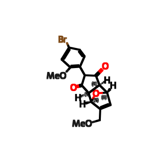 COCC1=C[C@@H]2O[C@H]1[C@H]1C(=O)C(c3ccc(Br)cc3OC)C(=O)[C@H]12